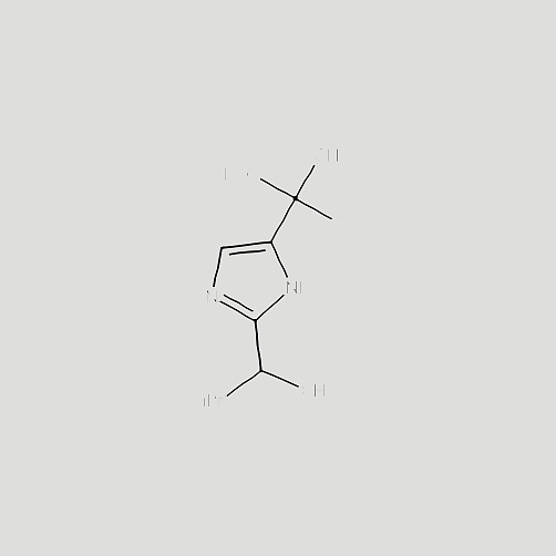 CCC(C)(C)c1cnc(C(C)C(C)C)[nH]1